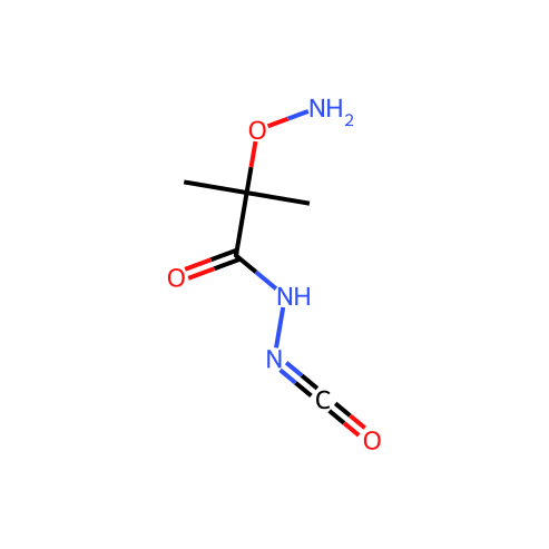 CC(C)(ON)C(=O)NN=C=O